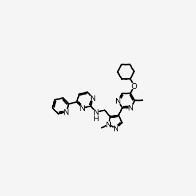 Cc1nc(-c2cnn(C)c2CNc2nccc(-c3ccccn3)n2)ncc1OC1CCCCC1